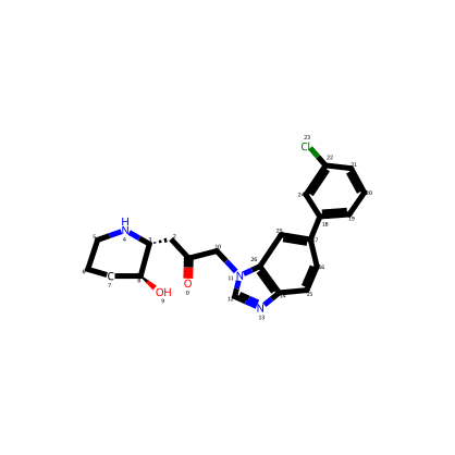 O=C(C[C@H]1NCCC[C@@H]1O)Cn1cnc2ccc(-c3cccc(Cl)c3)cc21